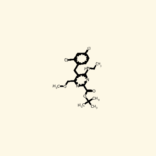 CCNc1nc(C(=O)OC(C)(C)C)nc(COC)c1Cc1ccc(Cl)cc1Cl